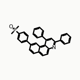 CP(C)(=O)c1ccc(-c2ccc3ccc4nc(-c5ccccc5)cc(-c5ccccc5)c4c3c2)cc1